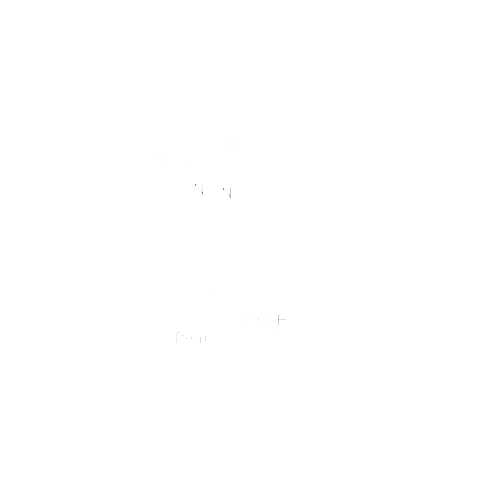 CCCC(C)C(C(=O)O)c1ccc(CN2N=C(c3ccccc3)OCC2=O)cc1